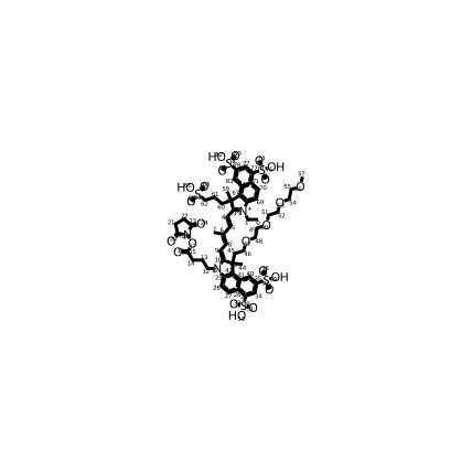 CC[N+]1=C(/C=C/C(C)=C/C=C2/N(CCCC(=O)ON3C(=O)CCC3=O)c3ccc4c(S(=O)(=O)O)cc(S(=O)(=O)O)cc4c3C2(C)CCOCCOCCOCCOC)C(C)(CCCS(=O)(=O)O)c2c1ccc1c(S(=O)(=O)O)cc(S(=O)(=O)O)cc21